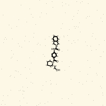 O=C(Nc1ccc(C(=O)N2CCCC[C@H]2CCO)cc1)N1Cc2ccccc2C1